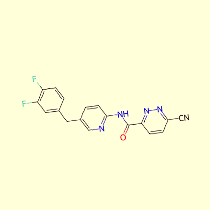 N#Cc1ccc(C(=O)Nc2ccc(Cc3ccc(F)c(F)c3)cn2)nn1